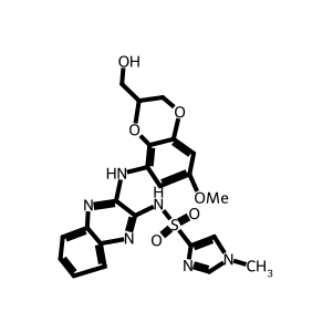 COc1cc(Nc2nc3ccccc3nc2NS(=O)(=O)c2cn(C)cn2)c2c(c1)OCC(CO)O2